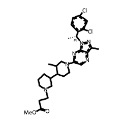 COC(=O)CCN1CCCC(C2CCN(c3cnc4c(C)nn([C@H](C)c5ccc(Cl)cc5Cl)c4n3)CC2C)C1